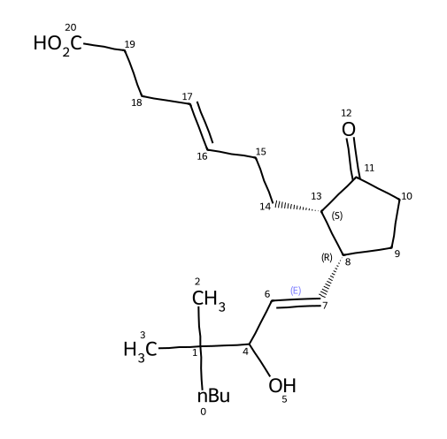 CCCCC(C)(C)C(O)/C=C/[C@H]1CCC(=O)[C@H]1CCC=CCCC(=O)O